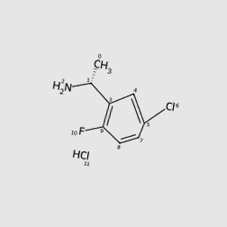 C[C@@H](N)c1cc(Cl)ccc1F.Cl